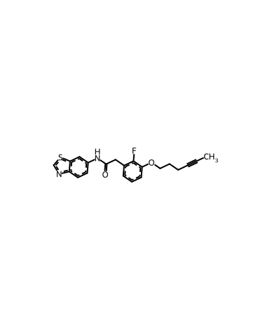 CC#CCCCOc1cccc(CC(=O)Nc2ccc3ncsc3c2)c1F